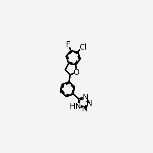 Fc1cc2c(cc1Cl)OC(c1cccc(-c3nnn[nH]3)c1)C2